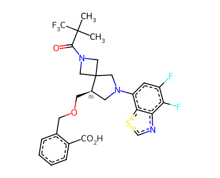 CC(C)(C(=O)N1CC2(C1)CN(c1cc(F)c(F)c3ncsc13)C[C@H]2COCc1ccccc1C(=O)O)C(F)(F)F